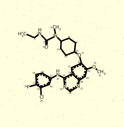 CCNC(=O)N(C)C1CCC(Oc2cc3c(Nc4ccc(F)c(Cl)c4)ncnc3cc2OC)CC1